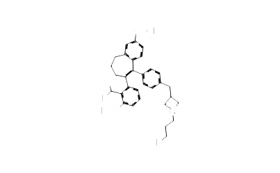 Cc1cccc(C2=C(c3ccc(CC4CN(CCCF)C4)cc3)c3ccc(C(=O)O)cc3CCC2)c1C(F)F